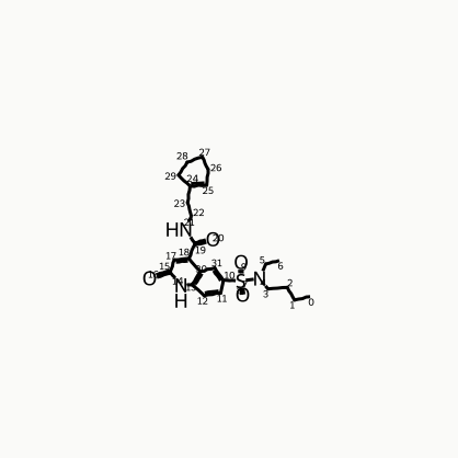 CCCCN(CC)S(=O)(=O)c1ccc2[nH]c(=O)cc(C(=O)NCCC3=CCCCC3)c2c1